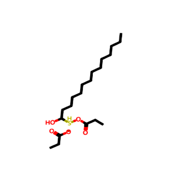 CCCCCCCCCCCCCC(O)[SH](OC(=O)CC)OC(=O)CC